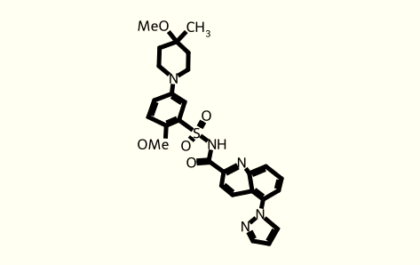 COc1ccc(N2CCC(C)(OC)CC2)cc1S(=O)(=O)NC(=O)c1ccc2c(-n3cccn3)cccc2n1